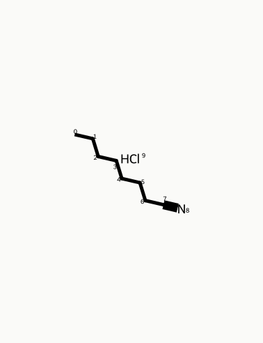 CCCCCCCC#N.Cl